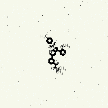 COc1ccccc1-c1cn(S(=O)(=O)c2ccc(C)cc2)c2ncc(-c3cccc(C(F)C(=O)N(C)C)c3)cc12